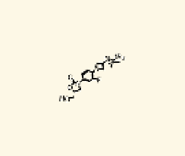 CC(C)(C)[Si](C)(C)OC1CN(c2ccc(N3C[C@H](CO)OC3=O)cc2F)C1